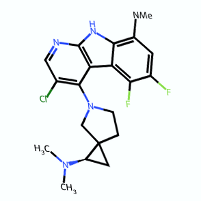 CNc1cc(F)c(F)c2c1[nH]c1ncc(Cl)c(N3CCC4(C[C@H]4N(C)C)C3)c12